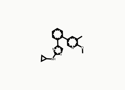 COc1ncc(-c2ccccc2-c2csc(NC3CC3)n2)cc1C